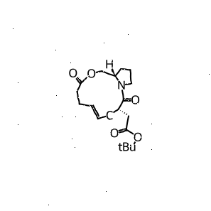 CC(C)(C)OC(=O)C[C@@H]1C/C=C/CCC(=O)OC[C@@H]2CCCN2C1=O